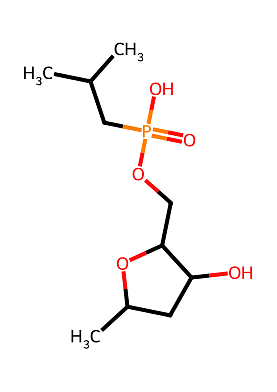 CC(C)CP(=O)(O)OCC1OC(C)CC1O